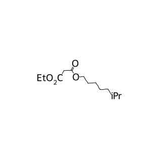 CCOC(=O)CC(=O)OCCCCCC(C)C